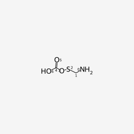 NCSOC(=O)O